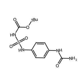 CC(C)(C)OC(=O)NS(=O)(=O)Nc1ccc(NC(N)=O)cc1